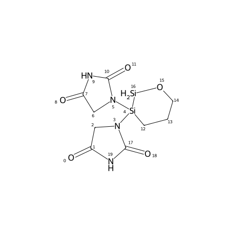 O=C1CN([Si]2(N3CC(=O)NC3=O)CCCO[SiH2]2)C(=O)N1